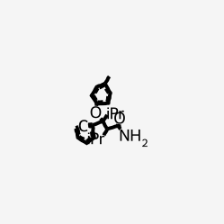 Cc1ccc(OC(c2ccccc2)(C(C)C)C(C(N)=O)C(C)C)cc1